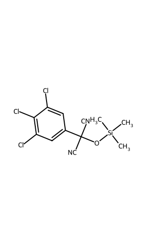 C[Si](C)(C)OC(C#N)(C#N)c1cc(Cl)c(Cl)c(Cl)c1